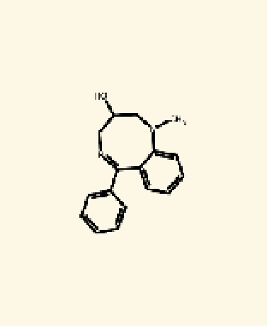 CN1CC(O)CN=C(c2ccccc2)c2ccccc21